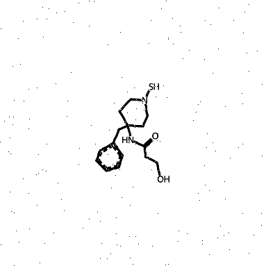 O=C(CCO)NC1(Cc2ccccc2)CCN(S)CC1